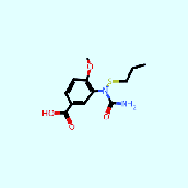 CCCSN(C(N)=O)c1cc(C(=O)O)ccc1OC